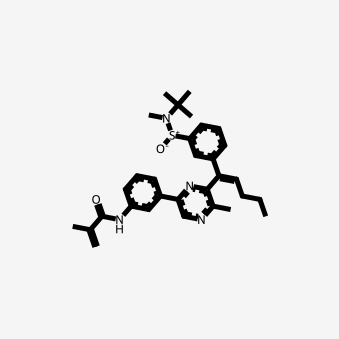 C=C(C)C(=O)Nc1cccc(-c2cnc(C)c(/C(=C\CCC)c3cccc([S+]([O-])N(C)C(C)(C)C)c3)n2)c1